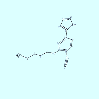 CCCCCCc1cc(-c2cccs2)ccc1C#N